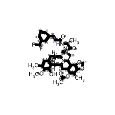 COc1c(C)cc2c(c1O)[C@H]1C3Cc4c(OC(C)=O)c(C)c5c(c4[C@H](CNC(=O)[C@@H](C)NC(=O)/C=C/c4cccc(C(F)F)c4)N3[C@@H](C#N)[C@H](C2)N1C)OCO5